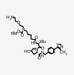 Cc1ncsc1-c1ccc(CNC(=O)[C@@H]2C[C@@H](O)CN2C(=O)[C@@H](NC(=O)CCCCN(CCOCCN)C(=O)OC(C)(C)C)C(C)(C)C)cc1